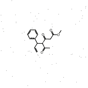 C=CC(c1ccccc1)C(C(C)=O)C(=O)CC(=O)OC